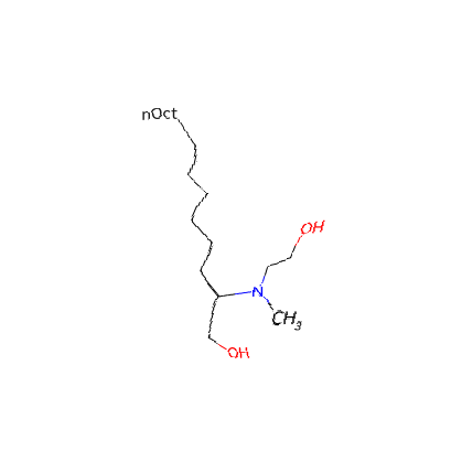 CCCCCCCCCCCCCCC(CO)N(C)CCO